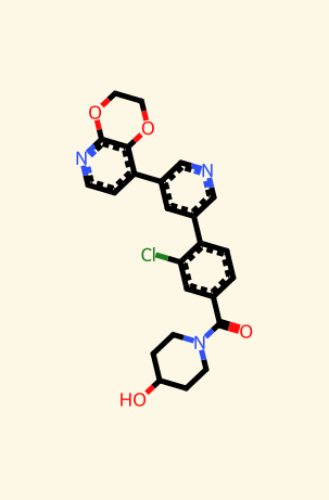 O=C(c1ccc(-c2cncc(-c3ccnc4c3OCCO4)c2)c(Cl)c1)N1CCC(O)CC1